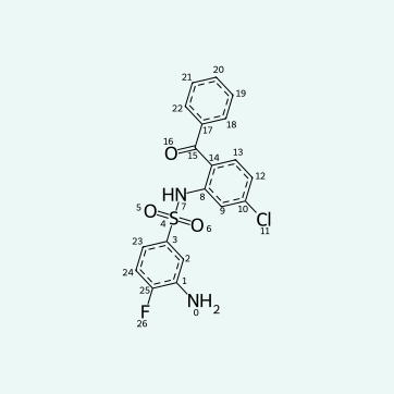 Nc1cc(S(=O)(=O)Nc2cc(Cl)ccc2C(=O)c2ccccc2)ccc1F